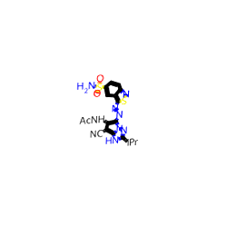 CC(=O)Nc1c(C#N)c2[nH]c(C(C)C)nn2c1/N=N/c1snc2ccc(S(N)(=O)=O)cc12